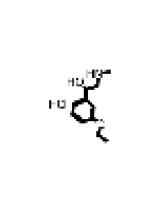 CCOc1cccc(C(O)CNC)c1.Cl